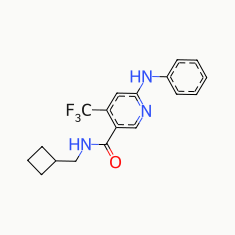 O=C(NCC1CCC1)c1cnc(Nc2ccccc2)cc1C(F)(F)F